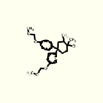 COCOc1ccc(C2(c3ccc(OCOC)cc3)CCC(C)(Cl)C(C)C2)cc1